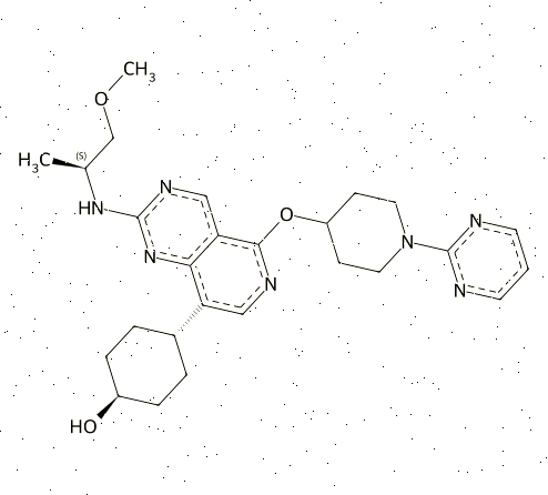 COC[C@H](C)Nc1ncc2c(OC3CCN(c4ncccn4)CC3)ncc([C@H]3CC[C@H](O)CC3)c2n1